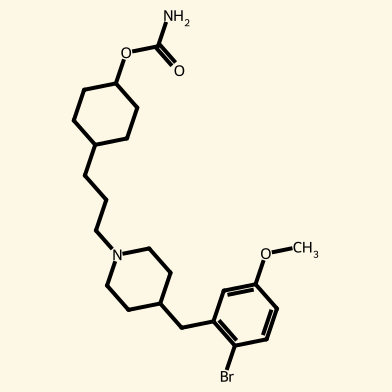 COc1ccc(Br)c(CC2CCN(CCCC3CCC(OC(N)=O)CC3)CC2)c1